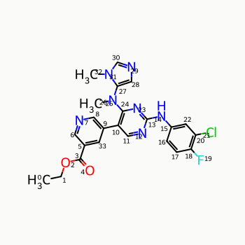 CCOC(=O)c1cncc(-c2cnc(Nc3ccc(F)c(Cl)c3)nc2N(C)c2cncn2C)c1